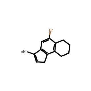 CCCC1=CCc2c1cc(Br)c1c2CCCC1